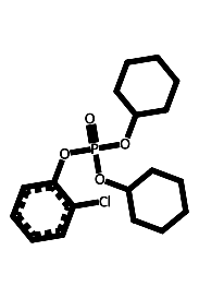 O=P(Oc1ccccc1Cl)(OC1CCCCC1)OC1CCCCC1